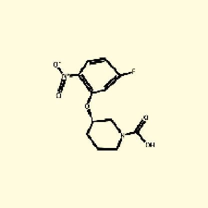 O=C(O)N1CCC[C@@H](Oc2cc(F)ccc2[N+](=O)[O-])C1